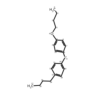 CCCCOc1ccc([I+]c2ccc(CCCC)cc2)cc1